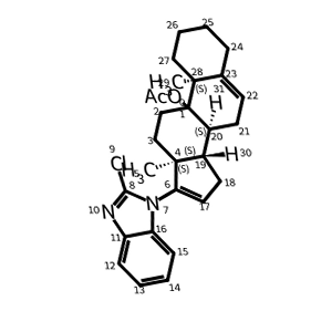 CC(=O)OC12CC[C@]3(C)C(n4c(Cl)nc5ccccc54)=CC[C@H]3[C@@H]1CC=C1CCCC[C@@]12C